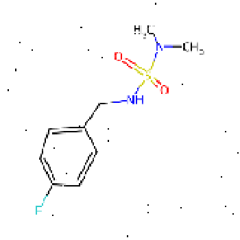 CN(C)S(=O)(=O)NCc1ccc(F)cc1